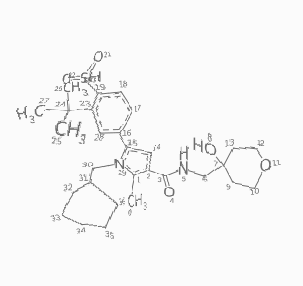 Cc1c(C(=O)NCC2(O)CCOCC2)cc(-c2ccc([SH](=O)=O)c(C(C)(C)C)c2)n1CC1CCCCC1